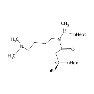 CCCCCCC[C@@H](C)N(CCCCN(C)C)C(=O)C[C@H](CCC)CCCCCC